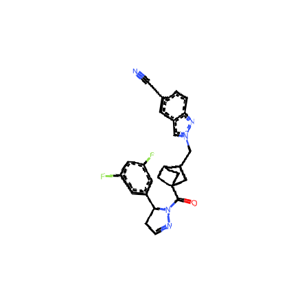 N#Cc1ccc2nn(CC3CC4(C(=O)N5N=CCC5c5cc(F)cc(F)c5)CC3C4)cc2c1